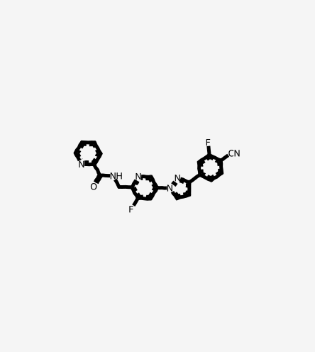 N#Cc1ccc(-c2ccn(-c3cnc(CNC(=O)c4ccccn4)c(F)c3)n2)cc1F